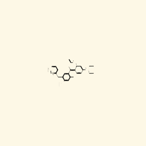 C=C/N=C1/C=C(N2CCOCC2)C=C/C1=C(/C)c1cc(Cc2cccnn2)c(S)cc1F